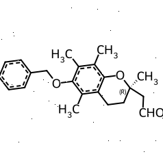 Cc1c(C)c2c(c(C)c1OCc1ccccc1)CC[C@](C)(CC=O)O2